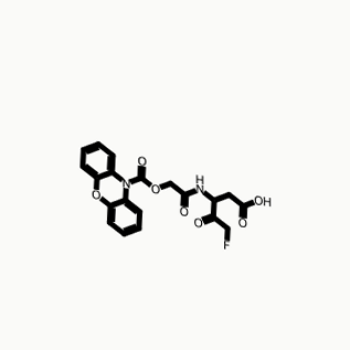 O=C(O)CC(NC(=O)COC(=O)N1c2ccccc2Oc2ccccc21)C(=O)CF